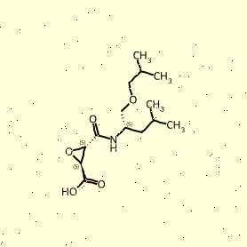 CC(C)COC[C@H](CC(C)C)NC(=O)[C@H]1O[C@@H]1C(=O)O